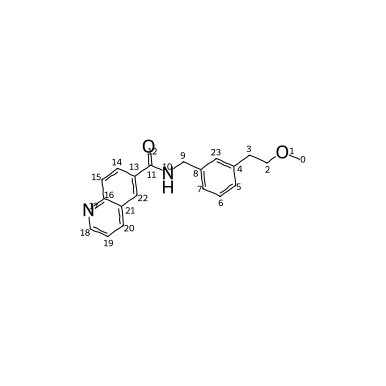 COCCc1cccc(CNC(=O)c2ccc3ncccc3c2)c1